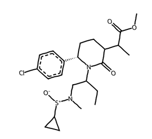 CCC(CN(C)[S+]([O-])C1CC1)N1C(=O)C(C(C)C(=O)OC)CC[C@H]1c1ccc(Cl)cc1